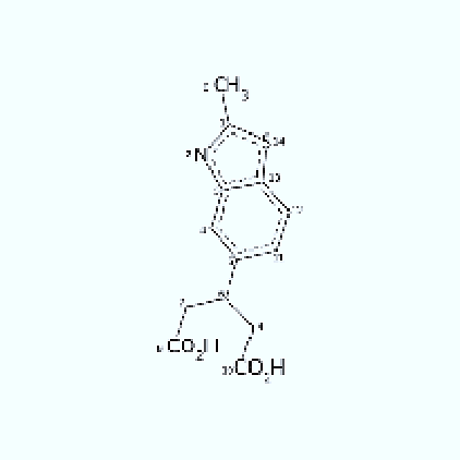 Cc1nc2cc(C(CC(=O)O)CC(=O)O)ccc2s1